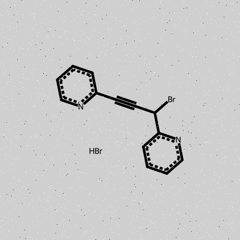 Br.BrC(C#Cc1ccccn1)c1ccccn1